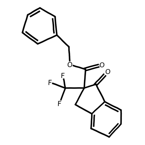 O=C(OCc1ccccc1)C1(C(F)(F)F)Cc2ccccc2C1=O